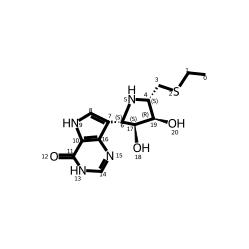 CCSC[C@H]1N[C@@H](c2c[nH]c3c(=O)[nH]cnc23)[C@H](O)[C@@H]1O